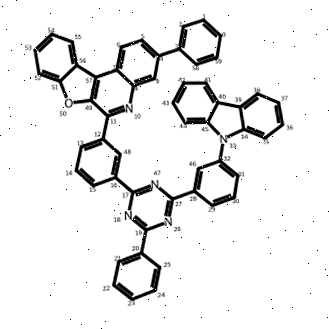 c1ccc(-c2ccc3c(c2)nc(-c2cccc(-c4nc(-c5ccccc5)nc(-c5cccc(-n6c7ccccc7c7ccccc76)c5)n4)c2)c2oc4ccccc4c23)cc1